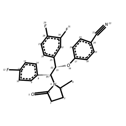 CC1CCC(=O)N1[C@H](c1ccc(F)cc1)[C@@H](Oc1ccc(C#N)cc1)c1ccc(F)c(F)c1